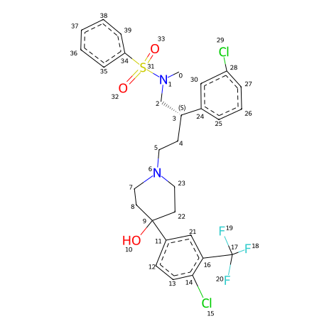 CN(C[C@@H](CCN1CCC(O)(c2ccc(Cl)c(C(F)(F)F)c2)CC1)c1cccc(Cl)c1)S(=O)(=O)c1ccccc1